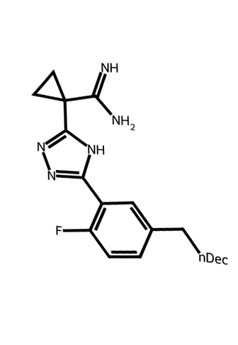 CCCCCCCCCCCc1ccc(F)c(-c2nnc(C3(C(=N)N)CC3)[nH]2)c1